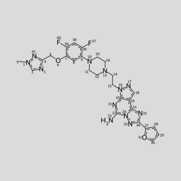 Cn1cnc(COc2cc(N3CCN(CCn4ncc5c4nc(N)n4nc(-c6ccco6)nc54)CC3)c(F)cc2F)n1